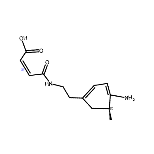 C[C@H]1CC(CCNC(=O)/C=C\C(=O)O)=CC=C1N